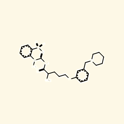 CC(=O)OC(CCCOc1cccc(CN2CCCCC2)c1)C(=O)NC1=NS(=O)(=O)c2ccccc2N1C